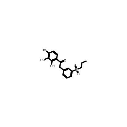 CCCS(=O)(=O)c1cccc(CC(=O)c2ccc(O)c(O)c2O)c1